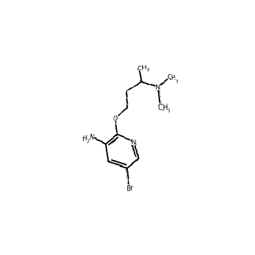 CC(CCOc1ncc(Br)cc1N)N(C)C